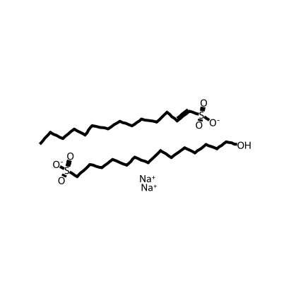 CCCCCCCCCCCCC=CS(=O)(=O)[O-].O=S(=O)([O-])CCCCCCCCCCCCCCO.[Na+].[Na+]